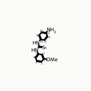 COc1cccc(NC(=S)Nc2ccc(N)cc2)c1